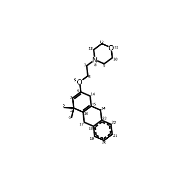 CC1(C)C=C(OCCN2CCOCC2)CC2=C1Cc1ccccc1C2